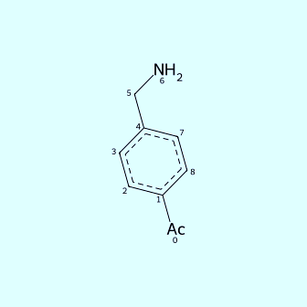 CC(=O)c1ccc(CN)cc1